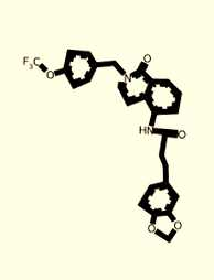 O=C(CCc1ccc2c(c1)OCO2)Nc1cccc2c(=O)n(Cc3ccc(OC(F)(F)F)cc3)ccc12